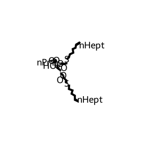 CCCCCCC/C=C\CCCCCSCC(=O)OC[C@H](COP(=O)(O)OCCC)OC(=O)CSCCCCC/C=C\CCCCCCC